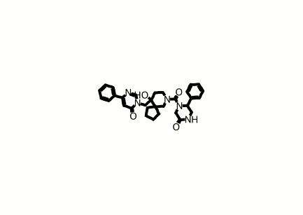 O=C1CN(C(=O)N2CCC(O)(Cn3cnc(-c4ccccc4)cc3=O)C3(CCCC3)C2)C(c2ccccc2)CN1